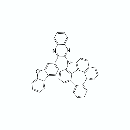 c1ccc2c(c1)-c1cccc3ccc4c(c13)c1c-2cccc1n4-c1nc2ccccc2nc1-c1ccc2c(c1)oc1ccccc12